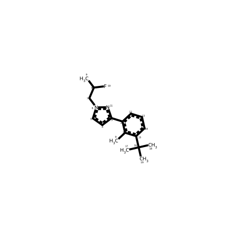 Cc1c(-c2ccn(CC(C)F)n2)cccc1C(C)(C)C